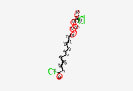 O=C(Cl)CCCCCCCCCCOOOOC(=O)Cl